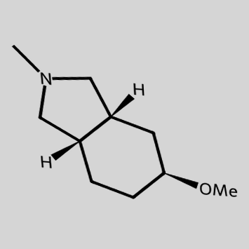 CO[C@H]1CC[C@@H]2CN(C)C[C@@H]2C1